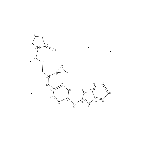 O=C1CCCN1CCCN(Cc1ccc(Oc2nc3ccccc3s2)cc1)C1CC1